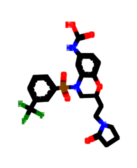 O=C(O)Nc1ccc2c(c1)N(S(=O)(=O)c1cccc(C(F)(F)F)c1)CC(CCN1CCCC1=O)O2